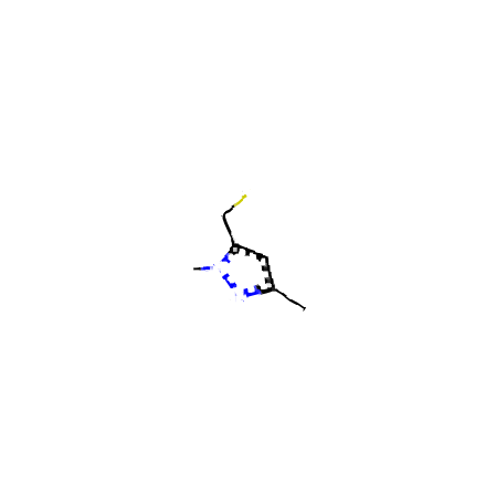 Cc1cc(CS)n(C)n1